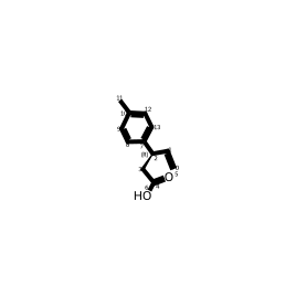 C=C[C@@H](CC(=O)O)c1ccc(C)cc1